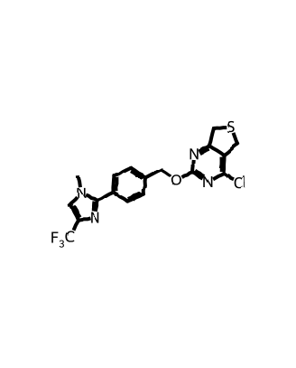 Cn1cc(C(F)(F)F)nc1-c1ccc(COc2nc(Cl)c3c(n2)CSC3)cc1